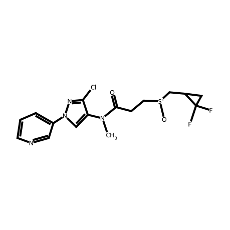 CN(C(=O)CC[S+]([O-])CC1CC1(F)F)c1cn(-c2cccnc2)nc1Cl